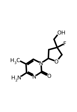 Cc1cn(C2CC(F)(CO)CO2)c(=O)nc1N